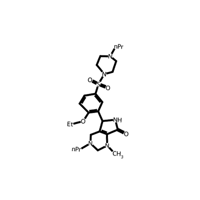 CCCN1CCN(S(=O)(=O)c2ccc(OCC)c(C3NC(=O)C4=C3CN(CCC)CN4C)c2)CC1